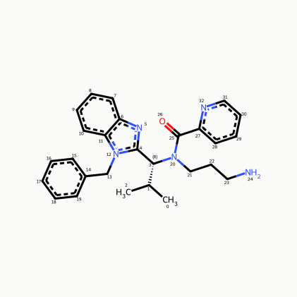 CC(C)[C@H](c1nc2ccccc2n1Cc1ccccc1)N(CCCN)C(=O)c1ccccn1